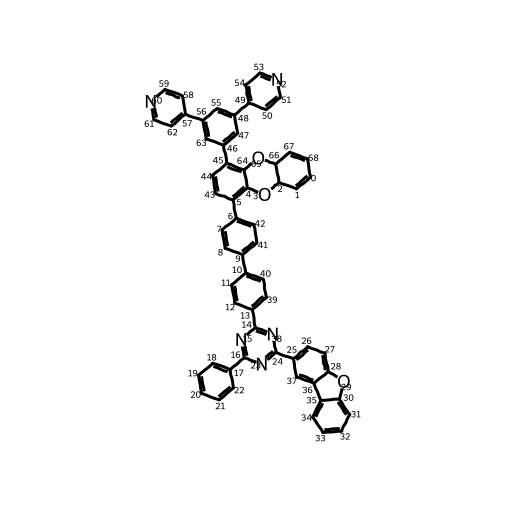 C1=CC2Oc3c(-c4ccc(-c5ccc(-c6nc(-c7ccccc7)nc(-c7ccc8oc9ccccc9c8c7)n6)cc5)cc4)ccc(-c4cc(-c5ccncc5)cc(-c5ccncc5)c4)c3OC2C=C1